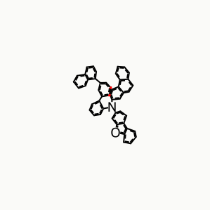 c1cc(-c2ccccc2N(c2ccc3c(ccc4ccccc43)c2)c2ccc3c(c2)oc2ccccc23)cc(-c2cccc3ccccc23)c1